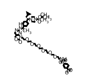 C[C@H](Nc1ncc2c(n1)N(CCOCCOCCOCCOCCOCCOCCNS(=O)(=O)c1ccc([N+](=O)[O-])cc1)C(=O)OC2)c1ccc([C@H](CC2CC2)N2CCN(C(=O)OC(C)(C)C)CC2)cc1